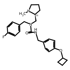 CN1CCC[C@H]1CN(Cc1ccc(F)cc1)C(=O)NCc1ccc(OC2CCC2)cc1